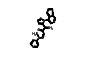 C=C(C(=O)/C=C\N(N)c1ccncc1)c1ccnn1-c1cncc2ccccc12